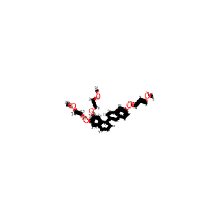 COCCCOc1ccc2c(c1)CCC(C1C[C]=Cc3cc(OCCOC)c(OCCOC)cc31)=C2